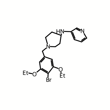 CCOc1cc(CN2CCC(Nc3cccnc3)CC2)cc(OCC)c1Br